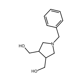 OCC1CN(Cc2ccccc2)CC1CO